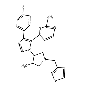 CC1CN(Cc2ccon2)CC1n1cnc(-c2ccc(F)cc2)c1-c1ccnc(N)n1